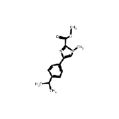 COC(=O)c1nc(-c2ccc(C(C)C)cc2)cn1C